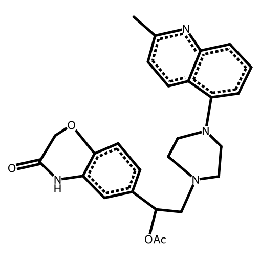 CC(=O)OC(CN1CCN(c2cccc3nc(C)ccc23)CC1)c1ccc2c(c1)NC(=O)CO2